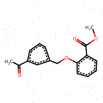 COC(=O)c1ccccc1OCc1cccc(C(C)=O)c1